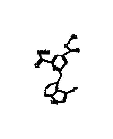 CNC(=O)c1cc(C(=O)OC(C)(C)C)cc(Cc2cccc3[nH]cc(F)c23)n1